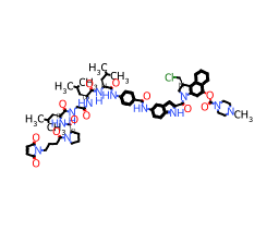 CC(C)C[C@H](NC(=O)CNC(=O)[C@H](CC(C)C)NC(=O)[C@@H]1CCCN1C(=O)CCCN1C(=O)C=CC1=O)C(=O)N[C@@H](CC(C)C)C(=O)Nc1ccc(C(=O)Nc2ccc3[nH]c(C(=O)N4C[C@@H](CCl)c5c4cc(OC(=O)N4CCN(C)CC4)c4ccccc54)cc3c2)cc1